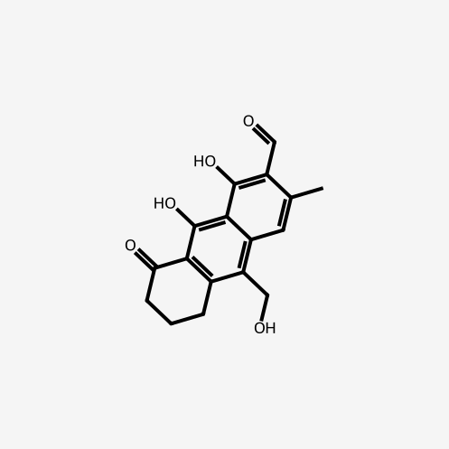 Cc1cc2c(CO)c3c(c(O)c2c(O)c1C=O)C(=O)CCC3